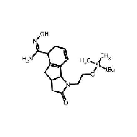 CC(C)(C)[Si](C)(C)OCCN1C(=O)CC2CC3=C(C=CCC3/C(N)=N\O)C21